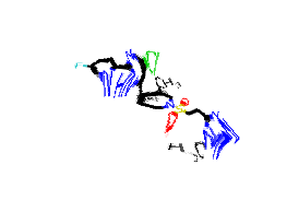 C[C@H]1CN(S(=O)(=O)CCc2nnnn2C)CC[C@H]1c1[nH]c(-c2ccc(F)cn2)nc1Cl